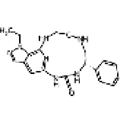 CCn1ncc2cc3nc(c21)NCCNC[C@H](c1ccccc1)NC(=O)N3